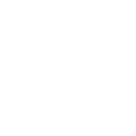 COC(CCC(=O)O)=Nc1ccc(-c2oc(-c3ccccc3)nc2C(=O)NCc2ccccc2C(F)(F)F)cc1